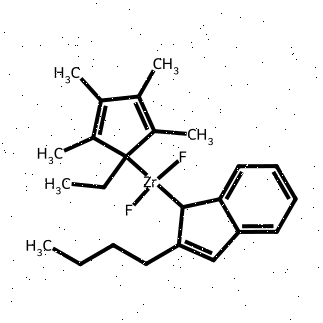 CCCCC1=Cc2ccccc2[CH]1[Zr]([F])([F])[C]1(CC)C(C)=C(C)C(C)=C1C